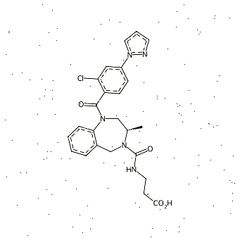 C[C@@H]1CN(C(=O)c2ccc(-n3cccn3)cc2Cl)c2ccccc2CN1C(=O)NCCC(=O)O